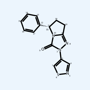 O=c1n(-c2cnsc2)nc2n1[C@H](c1ccccc1)CC2